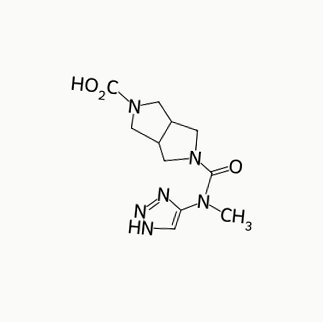 CN(C(=O)N1CC2CN(C(=O)O)CC2C1)c1c[nH]nn1